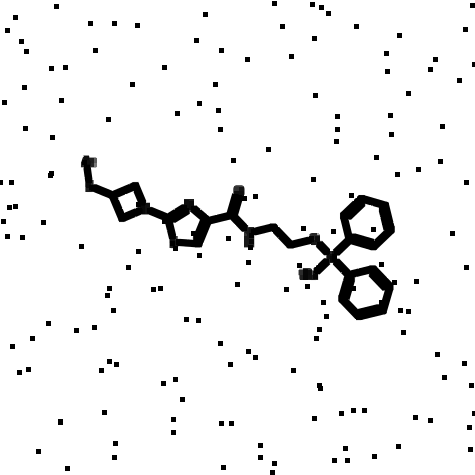 CC(=O)SC1CN(c2nc(C(=O)NCCO[Si](c3ccccc3)(c3ccccc3)C(C)(C)C)cs2)C1